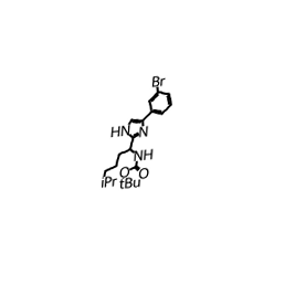 CC(C)CCCC(NC(=O)OC(C)(C)C)c1nc(-c2cccc(Br)c2)c[nH]1